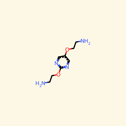 NCCOc1cnc(OCCN)nc1